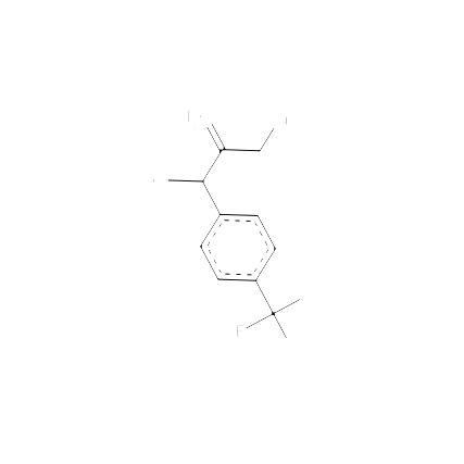 C=C(C[SiH3])C(Cl)c1ccc(C(F)(F)F)cc1